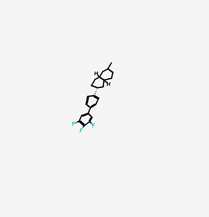 CC1CC[C@@H]2C[C@H](c3ccc(-c4cc(F)c(F)c(F)c4)cc3)CC[C@@H]2C1